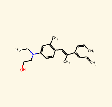 C=C/C=C(\C=C/C)C(/C)=C/c1ccc(N(CC)CCO)cc1C